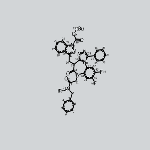 CC(C)N(Cc1ccccc1)C(=O)CN1C(=O)C(Cc2nn(C(=O)OC(C)(C)C)c3ccccc23)c2nnc(-c3ccccc3)n2-c2cc(F)c(F)cc21